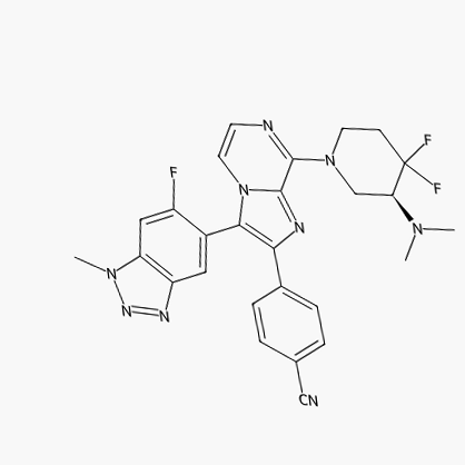 CN(C)[C@H]1CN(c2nccn3c(-c4cc5nnn(C)c5cc4F)c(-c4ccc(C#N)cc4)nc23)CCC1(F)F